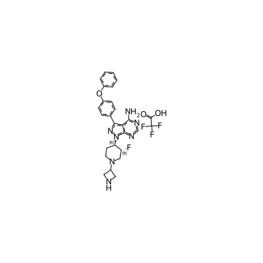 Nc1ncnc2c1c(-c1ccc(Oc3ccccc3)cc1)nn2[C@@H]1CCN(C2CNC2)C[C@H]1F.O=C(O)C(F)(F)F